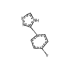 Fc1ccc(-c2nnc[nH]2)cc1